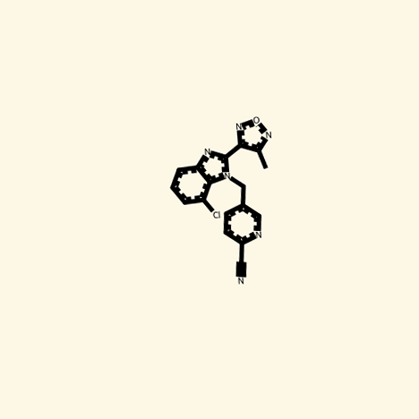 Cc1nonc1-c1nc2cccc(Cl)c2n1Cc1ccc(C#N)nc1